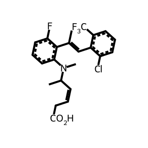 C/C(=C\c1c(Cl)cccc1C(F)(F)F)c1c(F)cccc1N(C)C(C)/C=C\CC(=O)O